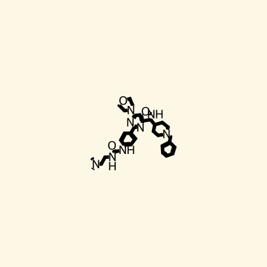 CN(C)CCNC(=O)Nc1ccc(-c2nc3c(c(N4CCOCC4)n2)ONC3C2CCN(Cc3ccccc3)CC2)cc1